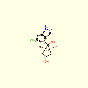 OC1C[C@@H]2[C@H](C1)C2(O)c1cc(Cl)cc2[nH]ncc12